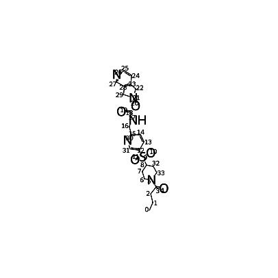 CCCC(=O)N1CCC(S(=O)(=O)c2ccc(CNC(=O)ON3Cc4ccncc4C3)nc2)CC1